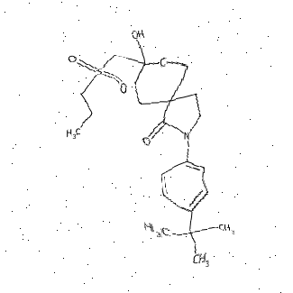 CCCS(=O)(=O)CC1(O)CCC2(CCN(c3ccc(C(C)(C)C)cc3)C2=O)CC1